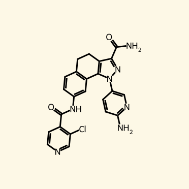 NC(=O)c1nn(-c2ccc(N)nc2)c2c1CCc1ccc(NC(=O)c3ccncc3Cl)cc1-2